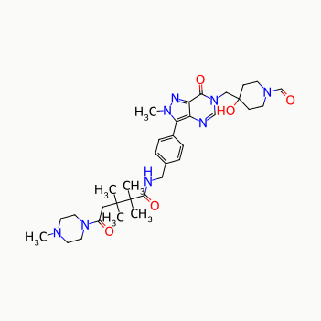 CN1CCN(C(=O)CC(C)(C)C(C)(C)C(=O)NCc2ccc(-c3c4ncn(CC5(O)CCN(C=O)CC5)c(=O)c4nn3C)cc2)CC1